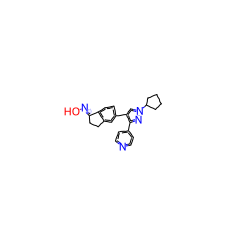 O/N=C1\CCc2cc(-c3cn(C4CCCC4)nc3-c3ccncc3)ccc21